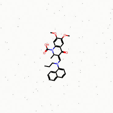 CCCN(C=C1C(=O)c2cc(OC)c(OC)cc2N(C(=O)O)C1C)c1cccc2ccccc12